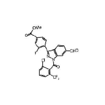 COC(=O)c1ccc(-c2nn(C(=O)c3c(Cl)cccc3C(F)(F)F)c3cc(C=O)ccc23)c(F)c1